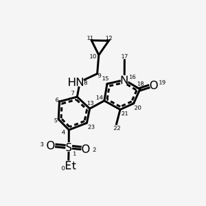 CCS(=O)(=O)c1ccc(NCC2CC2)c(-c2cn(C)c(=O)cc2C)c1